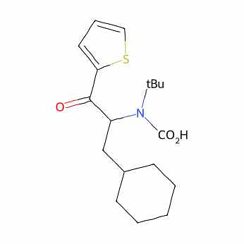 CC(C)(C)N(C(=O)O)C(CC1CCCCC1)C(=O)c1cccs1